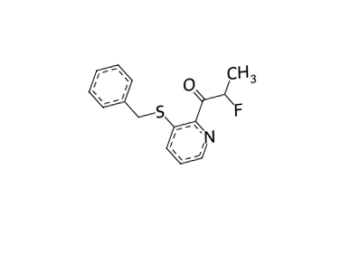 CC(F)C(=O)c1ncccc1SCc1ccccc1